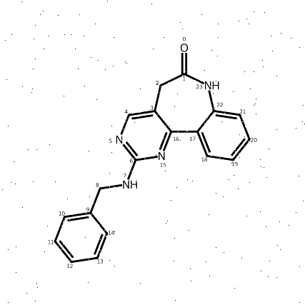 O=C1Cc2cnc(NCc3ccccc3)nc2-c2ccccc2N1